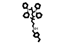 C=Cc1ccc(CNCCCC(C)(C)C(C)CC(C(C)P(c2ccccc2)c2ccccc2)P(c2ccccc2)c2ccccc2)cc1